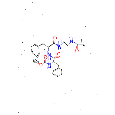 C=C(C)C(=O)NCCNC(=O)C(Cc1ccccc1)NC(=O)C(Cc1ccccc1)NC(=O)OC(C)(C)C